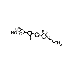 C=CCCOc1ccc(-c2ccc(-c3ccc(C4CCC(C(O)CCC)OC4)cc3F)cc2)c(F)c1F